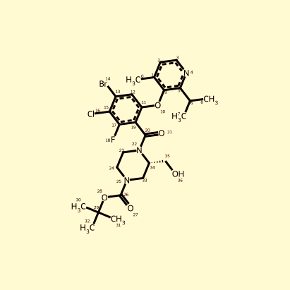 Cc1ccnc(C(C)C)c1Oc1cc(Br)c(Cl)c(F)c1C(=O)N1CCN(C(=O)OC(C)(C)C)C[C@H]1CO